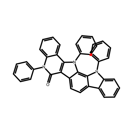 O=c1c2c3ccc4c5ccccc5n(-c5ccccc5)c4c3n(-c3ccccc3)c2c2ccccc2n1-c1ccccc1